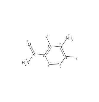 Cc1ccc(C(N)=O)c(C)c1N